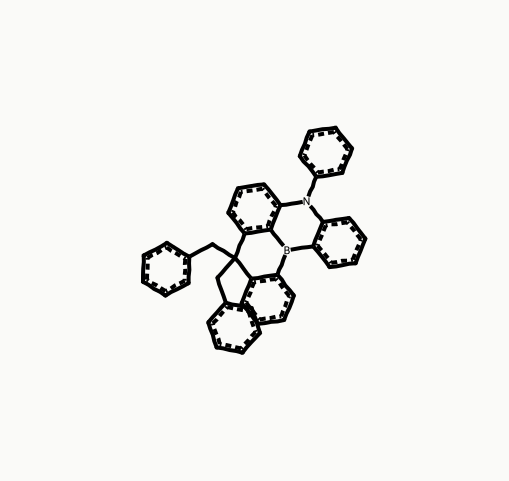 c1ccc(CC2(Cc3ccccc3)c3ccccc3B3c4ccccc4N(c4ccccc4)c4cccc2c43)cc1